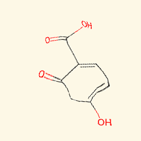 O=C(O)C1=CC=C(O)CC1=O